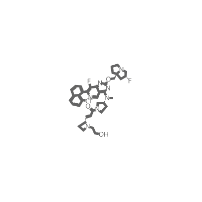 CN(c1nc(OC[C@@]23CCCN2C[C@H](F)C3)nc2c(F)c(-c3cccc4cccc(Cl)c34)ncc12)[C@@H]1CCN(C(=O)/C=C/[C@H]2CCN2CCO)C1